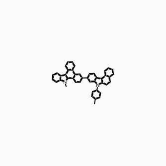 Cc1ccc(-n2c3cc(-c4ccc5c(c4)c4ccccc4c4c6ccccc6n(C)c54)ccc3c3c4ccccc4ccc32)cc1